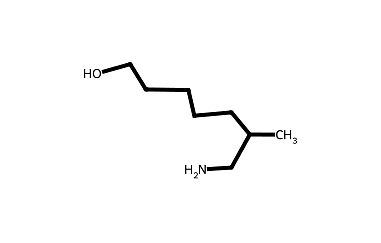 CC(CN)CCCCCO